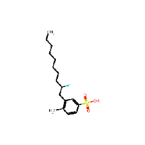 CCCCCCCCC(F)Cc1cc(S(=O)(=O)O)ccc1C